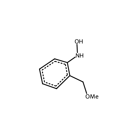 COCc1ccccc1NO